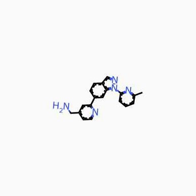 Cc1cccc(-n2ncc3ccc(-c4cc(CN)ccn4)cc32)n1